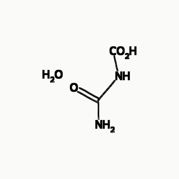 NC(=O)NC(=O)O.O